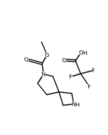 COC(=O)N1CCC2(CNC2)C1.O=C(O)C(F)(F)F